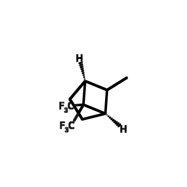 CC1[C@H]2CC[C@@H]1C2(C(F)(F)F)C(F)(F)F